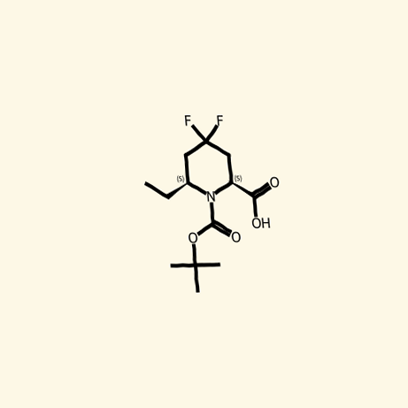 CC[C@H]1CC(F)(F)C[C@@H](C(=O)O)N1C(=O)OC(C)(C)C